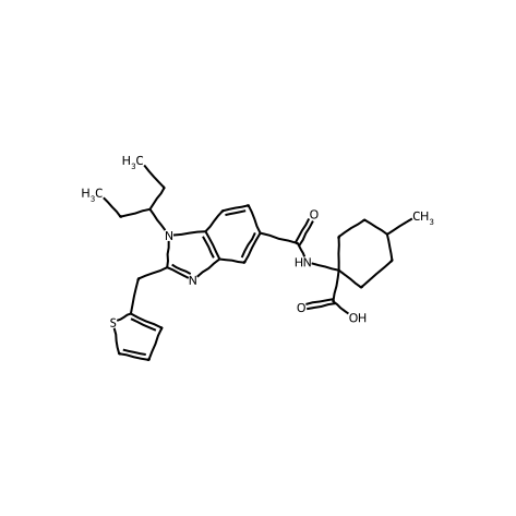 CCC(CC)n1c(Cc2cccs2)nc2cc(C(=O)NC3(C(=O)O)CCC(C)CC3)ccc21